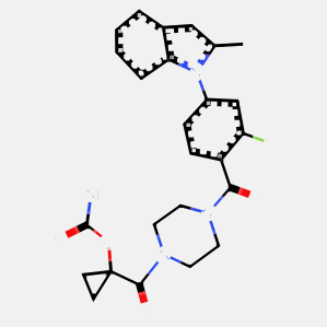 Cc1cc2ccccc2n1-c1ccc(C(=O)N2CCN(C(=O)C3(OC(N)=O)CC3)CC2)c(F)c1